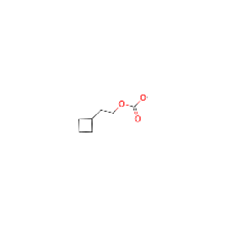 [O]C(=O)OCCC1CCC1